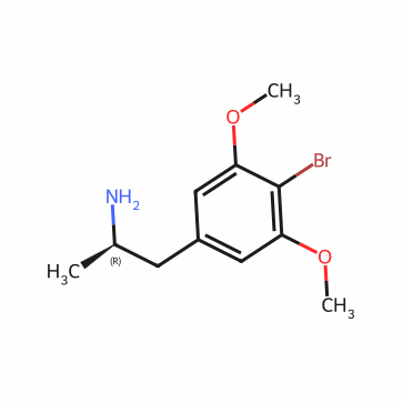 COc1cc(C[C@@H](C)N)cc(OC)c1Br